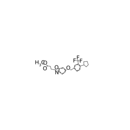 COC(=O)CCc1nc2ccc(OCc3ccc(C4CCCC4)c(C(F)(F)F)c3)cc2o1